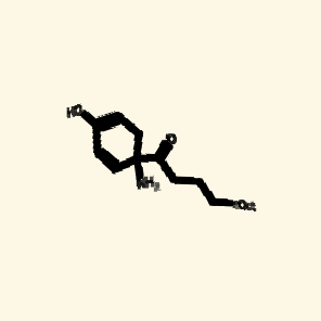 CCCCCCCCCCCC(=O)C1(N)C=CC(O)=CC1